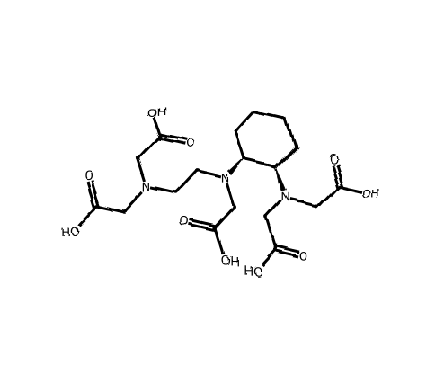 O=C(O)CN(CCN(CC(=O)O)[C@H]1CCCC[C@H]1N(CC(=O)O)CC(=O)O)CC(=O)O